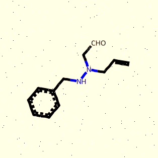 C=CCN(CC=O)NCc1ccccc1